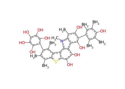 Bc1c(B)c(-c2c(O)c(B)c3c(c2O)c2c(O)c(O)c4sc5c(B)c(B)c(-c6c(O)c(O)c(O)c(O)c6O)c(B)c5c4c2n3C)c(B)c(B)c1O